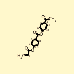 C=CC(=O)Oc1ccc(C(=O)Oc2ccc(C(C)=O)cc2)cc1